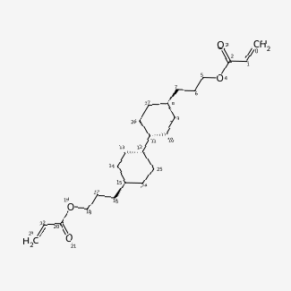 C=CC(=O)OCCC[C@H]1CC[C@H]([C@H]2CC[C@H](CCCOC(=O)C=C)CC2)CC1